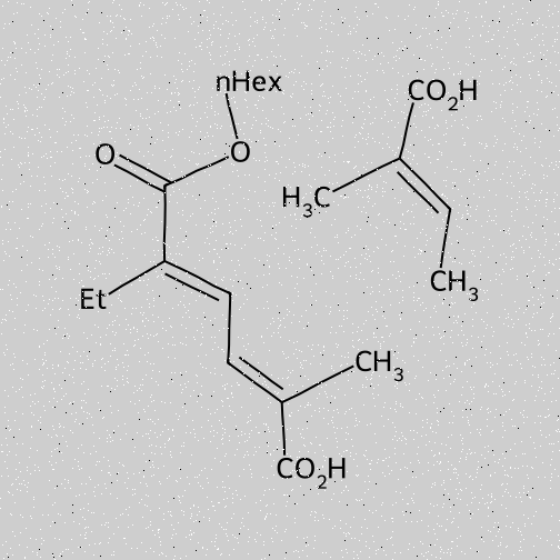 CC=C(C)C(=O)O.CCCCCCOC(=O)C(=CC=C(C)C(=O)O)CC